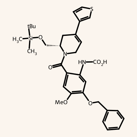 COc1cc(C(=O)N2CC=C(c3ccsc3)C[C@H]2CO[Si](C)(C)C(C)(C)C)c(NC(=O)O)cc1OCc1ccccc1